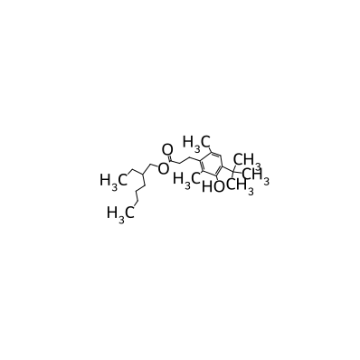 CCCCC(CC)COC(=O)CCc1c(C)cc(C(C)(C)C)c(O)c1C